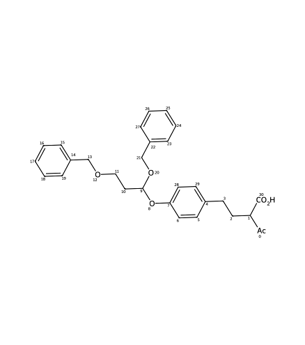 CC(=O)C(CCc1ccc(OC(CCOCc2ccccc2)OCc2ccccc2)cc1)C(=O)O